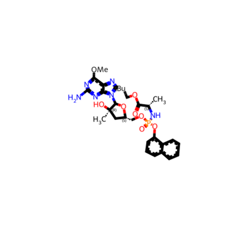 COc1nc(N)nc2c1ncn2C1O[C@H](COP(=O)(N[C@@H](C)C(=O)OCC(C)(C)C)Oc2cccc3ccccc23)C[C@@]1(C)O